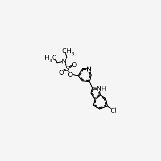 CCN(CC)S(=O)(=O)Oc1cncc(-c2cc3ccc(Cl)cc3[nH]2)c1